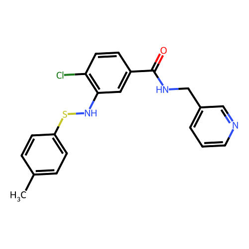 Cc1ccc(SNc2cc(C(=O)NCc3cccnc3)ccc2Cl)cc1